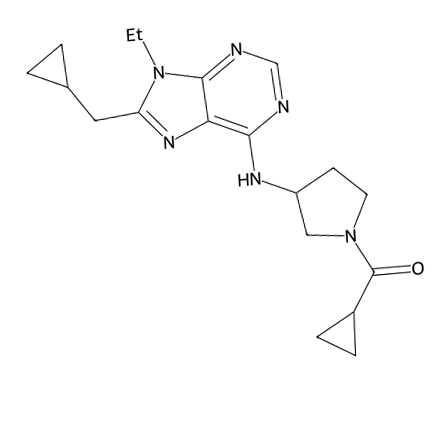 CCn1c(CC2CC2)nc2c(NC3CCN(C(=O)C4CC4)C3)ncnc21